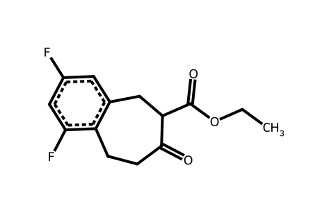 CCOC(=O)C1Cc2cc(F)cc(F)c2CCC1=O